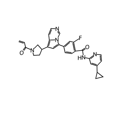 C=CC(=O)N1CCC(c2cc(-c3ccc(C(=O)Nc4cc(C5CC5)ccn4)c(F)c3)n3cnccc23)C1